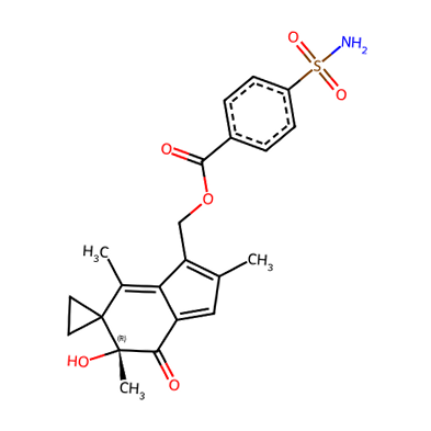 CC1=C(COC(=O)c2ccc(S(N)(=O)=O)cc2)C2=C(C)C3(CC3)[C@@](C)(O)C(=O)C2=C1